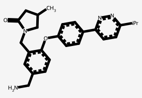 CC1CC(=O)N(Cc2cc(CN)ccc2Oc2ccc(-c3ccc(C(C)C)nn3)cc2)C1